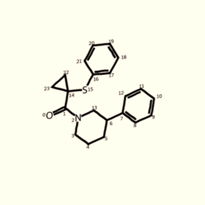 O=C(N1CCCC(c2ccccc2)C1)C1(Sc2ccccc2)CC1